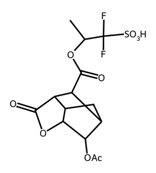 CC(=O)OC1C2CC3C1OC(=O)C3C2C(=O)OC(C)C(F)(F)S(=O)(=O)O